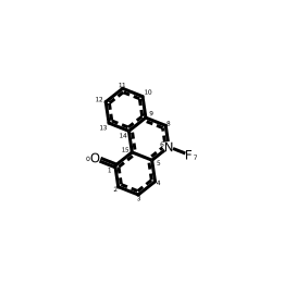 O=c1cccc2n(F)cc3ccccc3c1-2